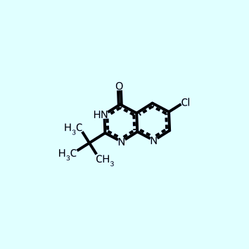 CC(C)(C)c1nc2ncc(Cl)cc2c(=O)[nH]1